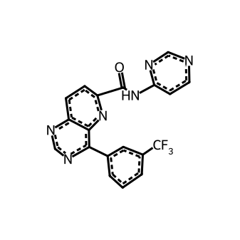 O=C(Nc1ccncn1)c1ccc2ncnc(-c3cccc(C(F)(F)F)c3)c2n1